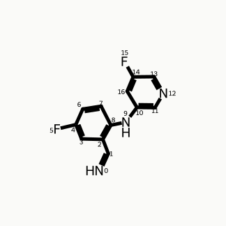 N=Cc1cc(F)ccc1Nc1cncc(F)c1